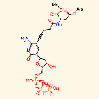 CC(C)(C)OC(=O)CC(NC(=O)CCC#Cc1cn([C@H]2C[C@@H](O)[C@@H](COP(=O)(O)OP(=O)(O)OP(=O)(O)O)O2)c(=O)nc1N)C(=O)OC(C)(C)C